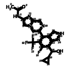 CC(=O)Nc1cn2cc(-c3c(C(F)(F)F)c(F)c(C(O)C4CC4)c4n[nH]cc34)ncc2n1